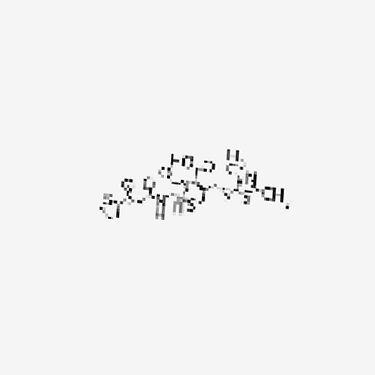 Cc1nc(C)c(SCC2=C(C(=O)O)N3C(=O)C(NC(=O)C[S+]([O-])c4cccs4)[C@@H]3SC2)s1